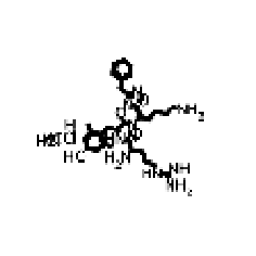 Cc1cc(O)cc(C)c1CC(NC(=O)C(N)CCCNC(=N)N)C(=O)NC(CCCCN)c1nc(Cc2ccccc2)no1.Cl.Cl.Cl